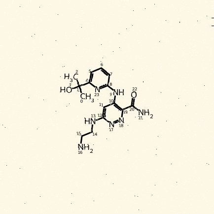 CC(C)(O)c1cccc(Nc2cc(NCCN)nnc2C(N)=O)n1